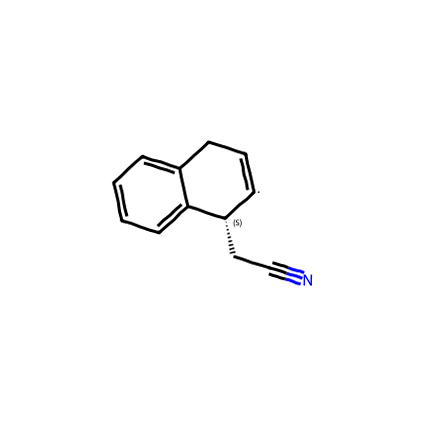 N#CC[C@H]1[C]=CCc2ccccc21